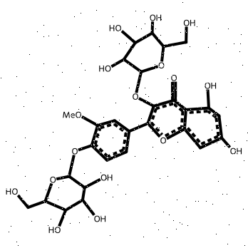 COc1cc(-c2oc3cc(O)cc(O)c3c(=O)c2OC2OC(CO)C(O)C(O)C2O)ccc1OC1OC(CO)C(O)C(O)C1O